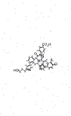 O=C(O)c1ccc(NC(=O)C2c3cccc(-c4cnn(CCCO)c4)c3CCN2C(=O)/C=C/c2c(-n3cnnn3)ccc(Cl)c2F)cc1